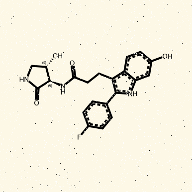 O=C(CCc1c(-c2ccc(F)cc2)[nH]c2cc(O)ccc12)N[C@H]1C(=O)NC[C@@H]1O